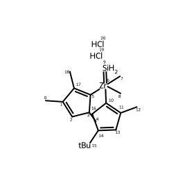 CC1=CC(C)[C]([Zr]([CH3])([CH3])(=[SiH2])[C]2=C(C)C=C(C(C)(C)C)C2)=C1C.Cl.Cl